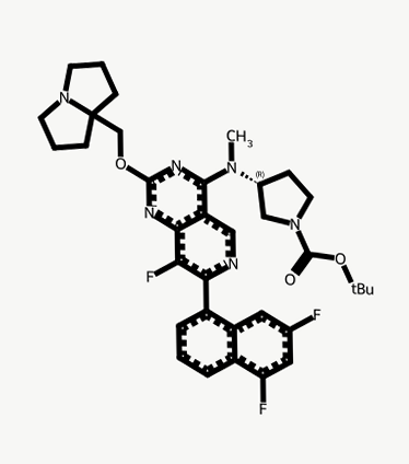 CN(c1nc(OCC23CCCN2CCC3)nc2c(F)c(-c3cccc4c(F)cc(F)cc34)ncc12)[C@@H]1CCN(C(=O)OC(C)(C)C)C1